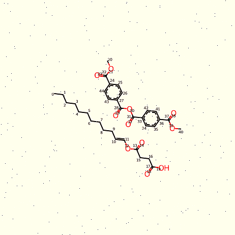 CCCCCCCCCCC=COC(=O)CCC(=O)O.COC(=O)c1ccc(C(=O)OC(=O)c2ccc(C(=O)OC)cc2)cc1